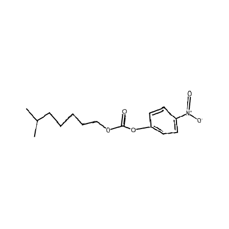 CC(C)CCCCCOC(=O)Oc1ccc([N+](=O)[O-])cc1